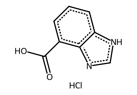 Cl.O=C(O)c1cccc2[nH]cnc12